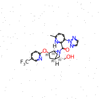 Cc1ccc(-n2nccn2)c(C(=O)N2[C@H](CO)[C@H]3C[C@@H](Oc4ccc(C(F)(F)F)cn4)[C@@H]2C3)n1